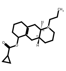 CCCN1CCC[C@@H]2CC3=C(CCCC3OC(=O)C3CC3)C[C@H]21